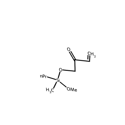 C=CC(=O)CO[Si](C)(CCC)OC